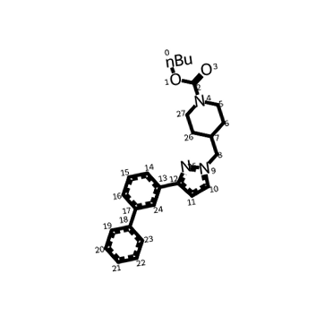 CCCCOC(=O)N1CCC(Cn2ccc(-c3cccc(-c4ccccc4)c3)n2)CC1